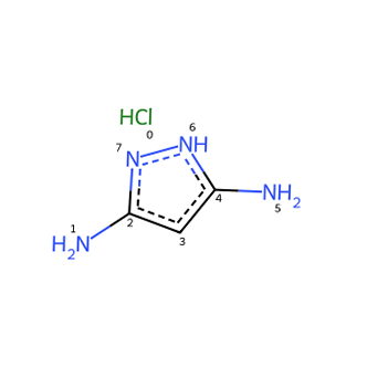 Cl.Nc1cc(N)[nH]n1